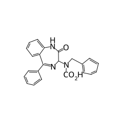 O=C1Nc2ccccc2C(c2ccccc2)=NC1N(Cc1ccccc1)C(=O)O